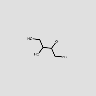 CCCCCC([O])C(O)CO